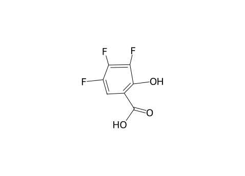 O=C(O)c1cc(F)c(F)c(F)c1O